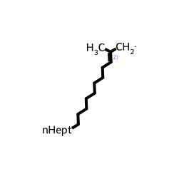 [CH2]/C(C)=C/CCCCCCCCCCCCCCC